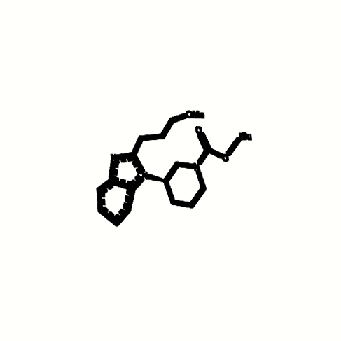 COCCCc1nc2ccccc2n1[C@@H]1CCCN(C(=O)OC(C)(C)C)C1